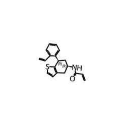 C=CC(=O)N[C@H]1Cc2ccsc2[C@@H](c2ccccc2C=C)C1